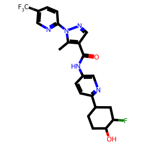 Cc1c(C(=O)Nc2ccc(C3CCC(O)C(F)C3)nc2)cnn1-c1ccc(C(F)(F)F)cn1